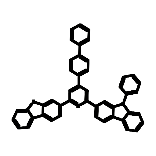 c1ccc(-c2ccc(-c3cc(-c4ccc5c(c4)sc4ccccc45)nc(-c4ccc5c6ccccc6n(-c6ccccc6)c5c4)c3)cc2)cc1